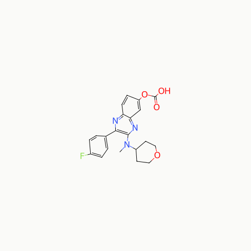 CN(c1nc2cc(OC(=O)O)ccc2nc1-c1ccc(F)cc1)C1CCOCC1